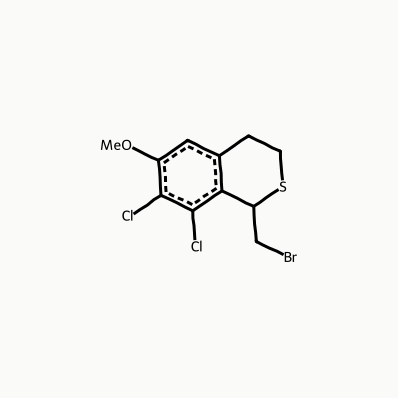 COc1cc2c(c(Cl)c1Cl)C(CBr)SCC2